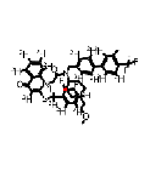 [2H]c1c([2H])c(F)c(F)c(C([2H])([2H])Sc2c([2H])c(=O)c3c([2H])c([2H])c([2H])c([2H])c3n2CC(=O)N(Cc2c([2H])c([2H])c(-c3c([2H])c([2H])c(C(F)(F)F)c(C)c3[2H])c([2H])c2[2H])C2CCN(CCOC)CC2)c1[2H]